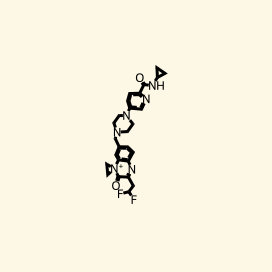 O=C(NC1CC1)c1ccc(N2CCN(Cc3ccc4c(c3)[N+]3(CC3)C(=O)C(CC(F)F)=N4)CC2)cn1